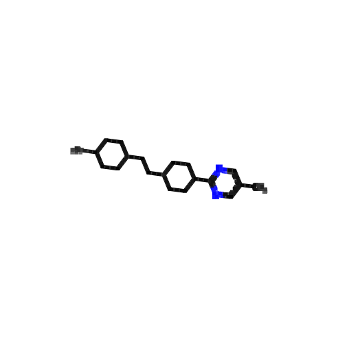 CCCC1CCC(CCC2CCC(c3ncc(C)cn3)CC2)CC1